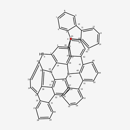 B1c2cc(-n3c4ccccc4c4ccccc43)cc3c2-n2c4c1ccc1c5ccccc5c5ccc(c2c5c14)B3c1c(-c2ccccc2)cccc1-c1ccccc1